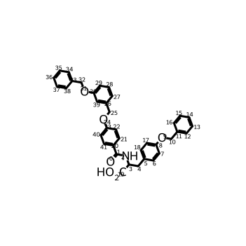 O=C(NC(Cc1ccc(OCc2ccccc2)cc1)C(=O)O)c1ccc(OCc2cccc(OCc3ccccc3)c2)cc1